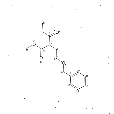 CCC(=O)C(CCOCc1ccccc1)C(=O)OC